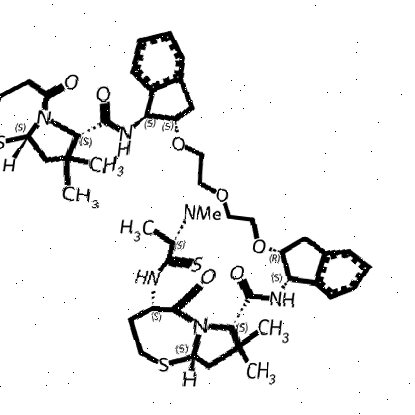 CN[C@@H](C)C(=S)N[C@H]1CCS[C@H]2CC(C)(C)[C@@H](C(=O)N[C@H]3c4ccccc4C[C@H]3OCCOCCO[C@H]3Cc4ccccc4[C@@H]3NC(=O)[C@H]3N4C(=O)CCCS[C@H]4CC3(C)C)N2C1=O